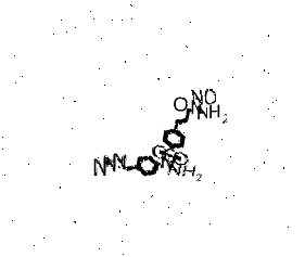 [N-]=[N+]=NCc1ccc(N(N)S(=O)(=O)c2ccc(/C=C/C(=O)N(N)N=O)cc2)cc1